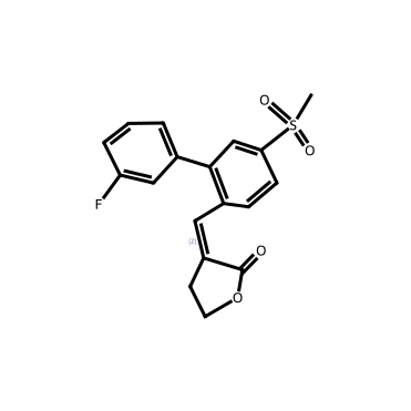 CS(=O)(=O)c1ccc(/C=C2/CCOC2=O)c(-c2cccc(F)c2)c1